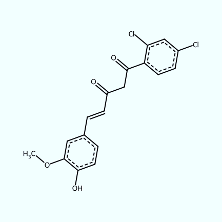 COc1cc(/C=C/C(=O)CC(=O)c2ccc(Cl)cc2Cl)ccc1O